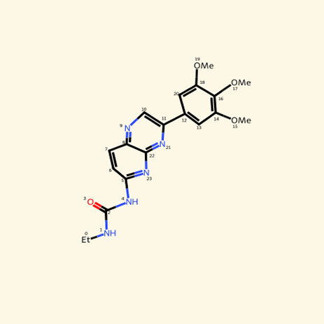 CCNC(=O)Nc1ccc2ncc(-c3cc(OC)c(OC)c(OC)c3)nc2n1